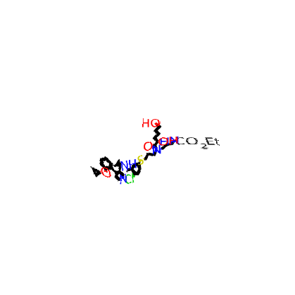 CCOC(=O)NCCCN(CCCSc1ccc(Cl)c(CNC2(c3cnccc3-c3ccccc3OC3CC3)CC2)c1)C(=O)C(O)CCCCO